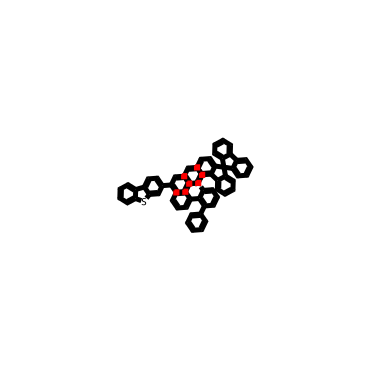 c1ccc(-c2ccccc2-c2c(-c3ccccc3)cccc2N(c2ccc(-c3ccc4c(c3)sc3ccccc34)cc2)c2cccc3c2-c2ccccc2C32c3ccccc3-c3ccccc32)cc1